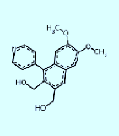 COc1cc2cc(CO)c(CO)c(-c3ccncc3)c2cc1OC